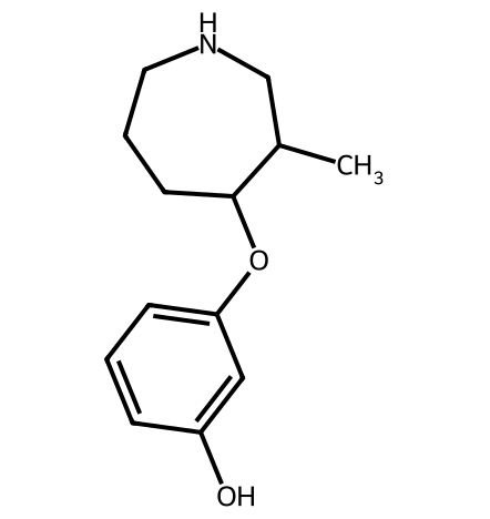 CC1CNCCCC1Oc1cccc(O)c1